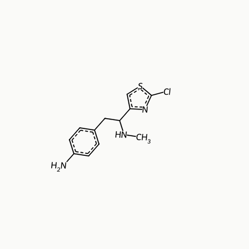 CNC(Cc1ccc(N)cc1)c1csc(Cl)n1